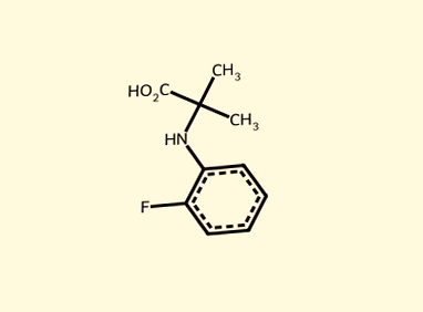 CC(C)(Nc1ccccc1F)C(=O)O